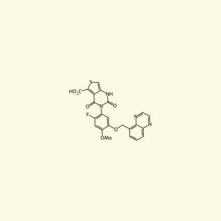 COc1cc(F)c(-n2c(=O)[nH]c3csc(C(=O)O)c3c2=O)cc1OCc1cccc2nccnc12